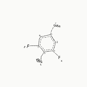 CSc1cc(F)c(C(C)(C)C)c(F)c1